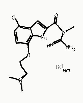 CN(C)CCOc1ccc(Cl)c2cc(C(=O)N(C)C(=N)N)[nH]c12.Cl.Cl